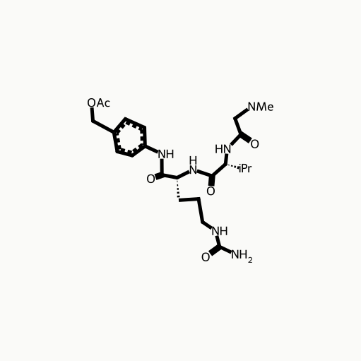 CNCC(=O)N[C@@H](C(=O)N[C@H](CCCNC(N)=O)C(=O)Nc1ccc(COC(C)=O)cc1)C(C)C